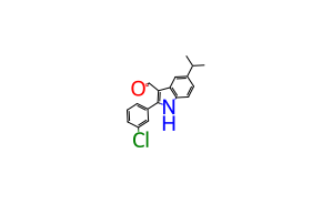 CC(C)c1ccc2[nH]c(-c3cccc(Cl)c3)c(C=O)c2c1